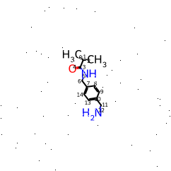 CC(C)C(=O)NCc1ccc(CN)cc1